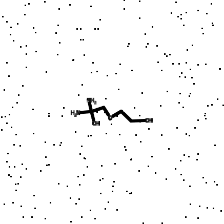 NC(N)(O)COCCO